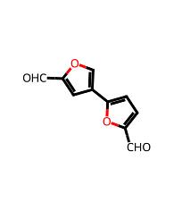 O=Cc1cc(-c2ccc(C=O)o2)co1